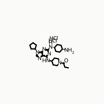 CCC(=O)N1CCC(Nc2nc(N[C@H]3CC[C@H](N)CC3)nc3c2ncn3C2CCCC2)CC1.Cl.Cl